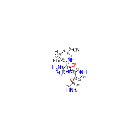 CCC1(C)CCC(CC#N)CNC(C(C(=O)NC2=C(O[C@@H]3CCNC3)CCNC2)C(N)N)C1